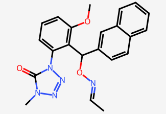 CC=NOC(c1ccc2ccccc2c1)c1c(OC)cccc1-n1nnn(C)c1=O